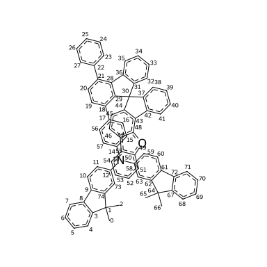 CC1(C)c2ccccc2-c2ccc(N(c3ccc(-c4ccc(-c5ccccc5)c5c4C4(c6ccccc6-5)c5ccccc5-c5c4ccc4c5oc5ccccc54)cc3)c3ccc4c(c3)C(C)(C)c3ccccc3-4)cc21